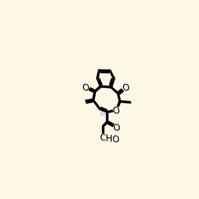 C=C1/C=C(/C(=O)CC=O)OC(C)C(=O)c2ccccc2C1=O